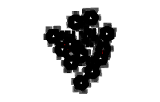 c1ccc(-c2ccc(-c3ccccc3Nc3ccc4c5ccc(-n6c7ccccc7c7ccc(-c8ccccc8)cc76)cc5n(-c5nc(-n6c7ccccc7c7ccccc76)nc(-n6c7ccccc7c7ccccc76)n5)c4c3)cc2)cc1